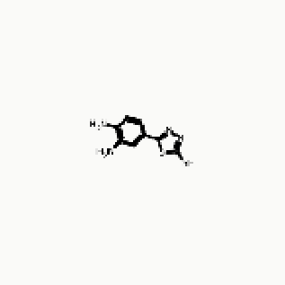 Nc1ccc(-c2nnc(S)s2)cc1N